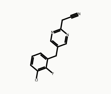 N#CCc1ncc(Cc2cccc(Cl)c2F)cn1